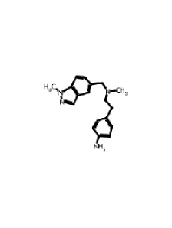 CN(CCc1ccc(N)cc1)Cc1ccc2c(cnn2C)c1